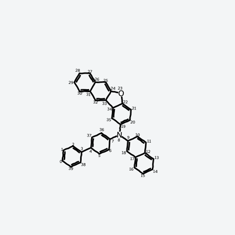 c1ccc(-c2ccc(N(c3ccc4ccccc4c3)c3ccc4oc5cc6ccccc6cc5c4c3)cc2)cc1